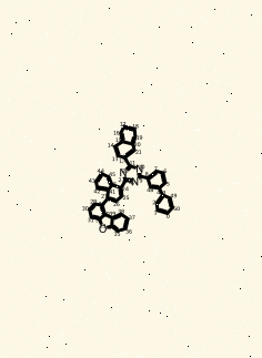 c1ccc(-c2cccc(-c3nc(-c4ccc5ccccc5c4)nc(-c4ccc(-c5cccc6oc7ccccc7c56)c5ccccc45)n3)c2)cc1